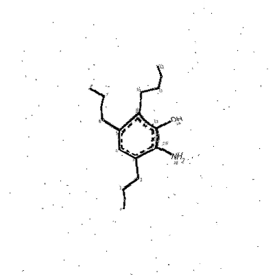 CCCc1cc(CCC)c(CCC)c(O)c1N